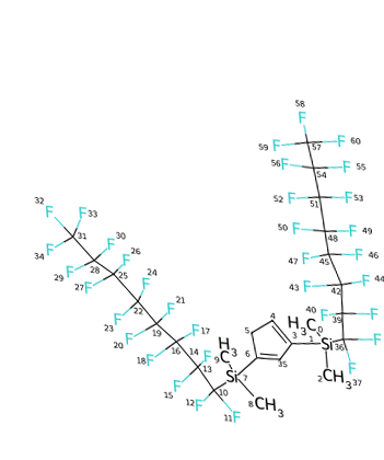 C[Si](C)(C1=CCC([Si](C)(C)C(F)(F)C(F)(F)C(F)(F)C(F)(F)C(F)(F)C(F)(F)C(F)(F)C(F)(F)F)=C1)C(F)(F)C(F)(F)C(F)(F)C(F)(F)C(F)(F)C(F)(F)C(F)(F)C(F)(F)F